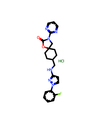 Cl.O=C1OC2(CCC(CNc3ccn(-c4ccccc4F)n3)CC2)CN1c1ncccn1